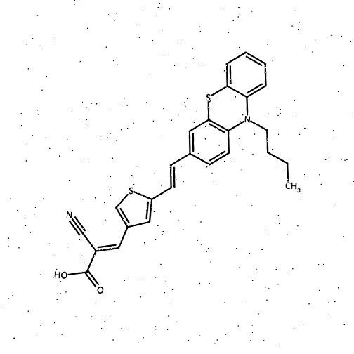 CCCCN1c2ccccc2Sc2cc(/C=C/c3cc(/C=C(\C#N)C(=O)O)cs3)ccc21